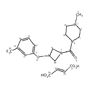 CN1CCN(C(=O)N2CC(Oc3cccc(C(F)(F)F)c3)C2)CC1.O=C(O)/C=C/C(=O)O